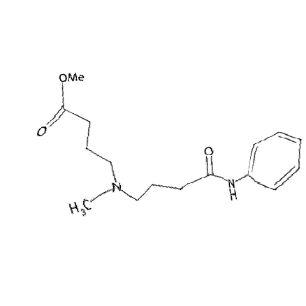 COC(=O)CCCN(C)CCCC(=O)Nc1ccccc1